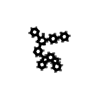 c1ccc(C2=NC(c3cccc(-n4c5ccccc5c5c6c(ccc54)sc4ccccc46)c3)=NC(c3ccc(-c4ccccc4)cc3)N2)cc1